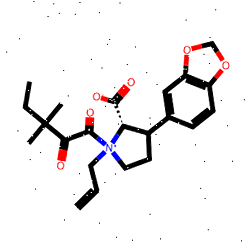 C=CC[N+]1(C(=O)C(=O)C(C)(C)CC)CCC(c2ccc3c(c2)OCO3)[C@H]1C(=O)[O-]